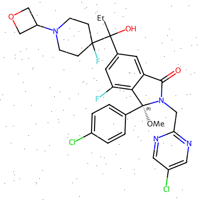 CCC(O)(c1cc(F)c2c(c1)C(=O)N(Cc1ncc(Cl)cn1)[C@@]2(OC)c1ccc(Cl)cc1)C1(F)CCN(C2COC2)CC1